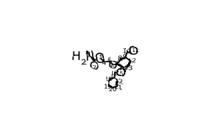 NC(=O)OCCOc1cc(C=O)ccc1OCc1ccccc1